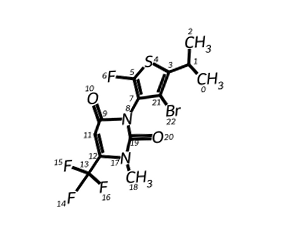 CC(C)c1sc(F)c(-n2c(=O)cc(C(F)(F)F)n(C)c2=O)c1Br